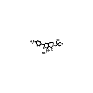 CC(C)(C)Nc1nc(-c2cnc(N)nc2)cc2ccn(CC3(CO)COC3)c(=O)c12